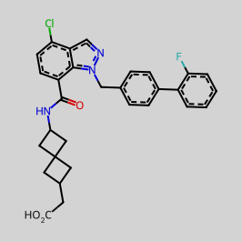 O=C(O)CC1CC2(C1)CC(NC(=O)c1ccc(Cl)c3cnn(Cc4ccc(-c5ccccc5F)cc4)c13)C2